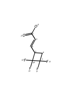 [O]C(=O)C=CC1CC(F)(F)C1(F)F